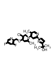 CC1=CC(OCc2ncc(F)cc2F)=C(Cl)CN1c1cc(-n2ccc(C(C)(C)O)n2)ncc1C